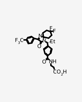 CC[C@H](c1ccc(C(=O)NCCC(=O)O)cc1)N1C(=O)C(c2ccc(C(F)(F)F)cc2)=NC12CCC(F)(F)CC2